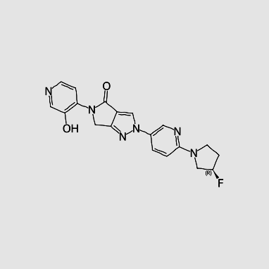 O=C1c2cn(-c3ccc(N4CC[C@@H](F)C4)nc3)nc2CN1c1ccncc1O